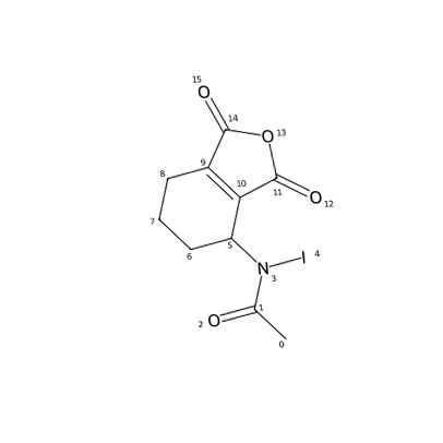 CC(=O)N(I)C1CCCC2=C1C(=O)OC2=O